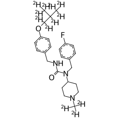 [2H]C([2H])([2H])N1CCC(N(Cc2ccc(F)cc2)C(=O)NCc2ccc(OC([2H])([2H])C([2H])(C([2H])([2H])[2H])C([2H])([2H])[2H])cc2)CC1